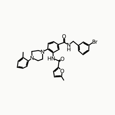 Cc1ccc(C(=O)Nc2cc(C(=O)NCc3cccc(Br)c3)ccc2N2CCN(c3ccccc3C)CC2)o1